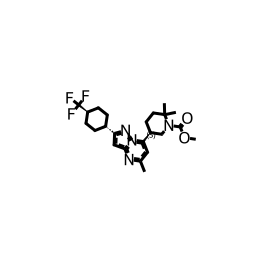 COC(=O)N1C[C@@H](c2cc(C)nc3cc([C@H]4CC[C@H](C(F)(F)F)CC4)nn23)CCC1(C)C